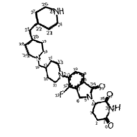 O=C1CC[C@H](N2Cc3c(ccc(N4CCC(CN5CCC(CC6CCNCC6)CC5)CC4)c3F)C2=O)C(=O)N1